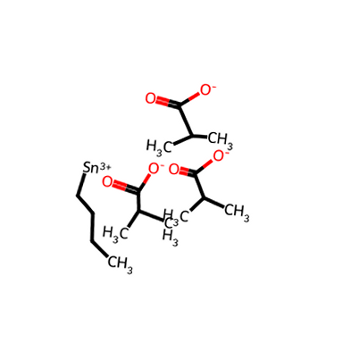 CC(C)C(=O)[O-].CC(C)C(=O)[O-].CC(C)C(=O)[O-].CCC[CH2][Sn+3]